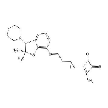 CC1(C)Oc2c(OCCCNc3c(N)c(=O)c3=O)cccc2C1N1CCCCC1